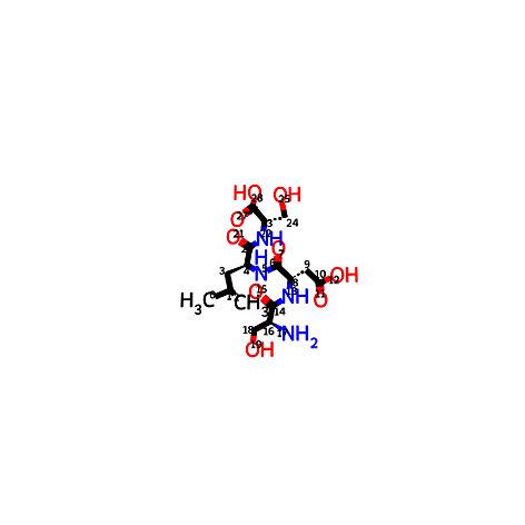 CC(C)C[C@H](NC(=O)[C@H](CC(=O)O)NC(=O)[C@@H](N)CO)C(=O)N[C@@H](CO)C(=O)O